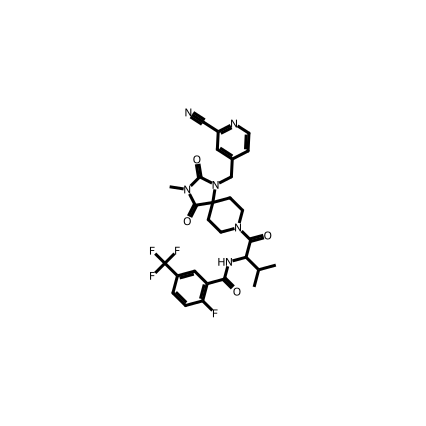 CC(C)C(NC(=O)c1cc(C(F)(F)F)ccc1F)C(=O)N1CCC2(CC1)C(=O)N(C)C(=O)N2Cc1ccnc(C#N)c1